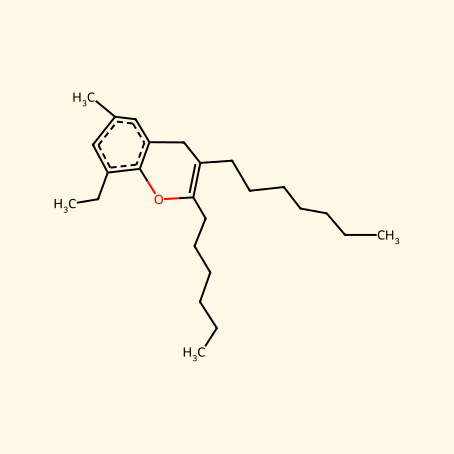 CCCCCCCC1=C(CCCCCC)Oc2c(CC)cc(C)cc2C1